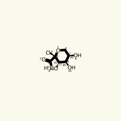 CC(=O)[C@]1(Cl)OC[C@@H](O)[C@@H](O)[C@@H]1O